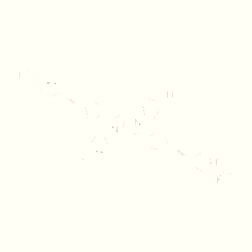 Cc1ccc(-n2c(-c3ccc(C#Cc4ccc(S(F)(F)(F)(F)F)cc4)cc3)cc3c2cc(-c2ccc(C#Cc4ccc(S(F)(F)(F)(F)F)cc4)cc2)n3-c2ccc(C)cc2)cc1